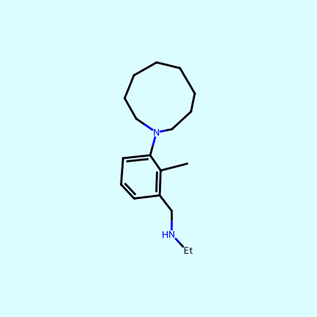 CCNCc1cccc(N2CCCCCCCC2)c1C